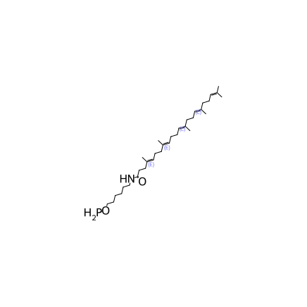 CC(C)=CCC/C(C)=C/CC/C(C)=C/CC/C=C(\C)CC/C=C(\C)CCC(=O)NCCCCCCOP